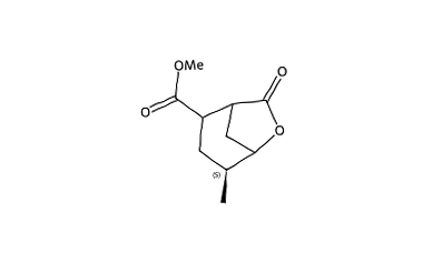 COC(=O)C1C[C@H](C)C2CC1C(=O)O2